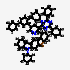 c1ccc(-c2ccc(-c3ccccc3)c(-c3cnc(-c4cccc5sc6cc7c(cc6c45)c4ccccc4n7-c4ccccc4)c(-c4nc(-c5ccccc5)nc(-c5ccccc5)n4)c3)c2)cc1